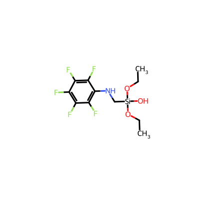 CCO[Si](O)(CNc1c(F)c(F)c(F)c(F)c1F)OCC